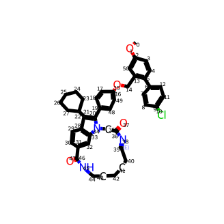 COc1ccc(-c2ccc(Cl)cc2)c(COc2ccc(-c3c(C4CCCCC4)c4ccc5cc4n3CC(=O)/N=C/CCCCCNC5=O)cc2)c1